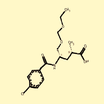 CCOCOC[C@H](C[C@H](C)C(=O)O)NC(=O)c1ccc(Cl)cc1